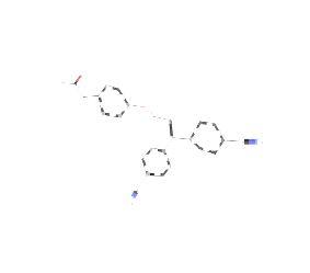 N#Cc1ccc(C(=CCOc2ccc(CC(=O)O)cc2)c2ccc(C#N)cc2)cc1